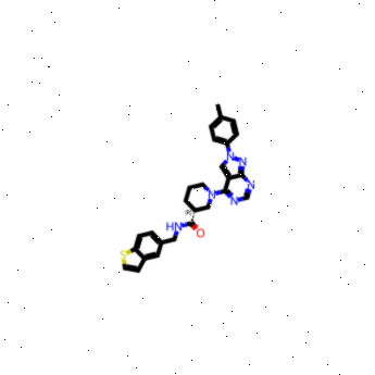 Cc1ccc(-n2cc3c(N4CCC[C@@H](C(=O)NCc5ccc6sccc6c5)C4)ncnc3n2)cc1